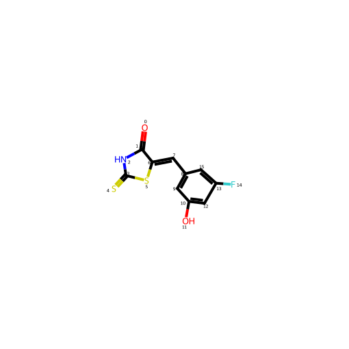 O=C1NC(=S)S/C1=C\c1cc(O)cc(F)c1